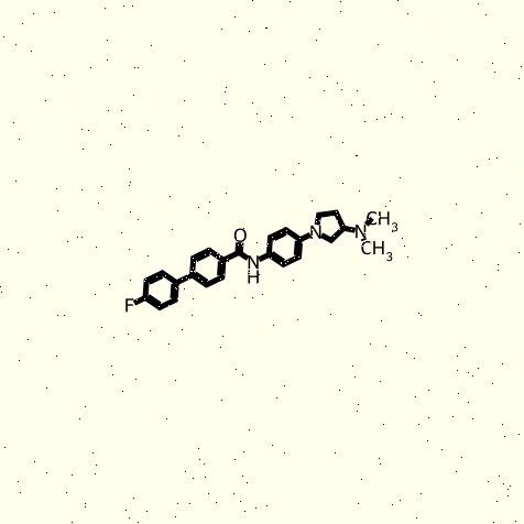 CN(C)C1CCN(c2ccc(NC(=O)c3ccc(-c4ccc(F)cc4)cc3)cc2)C1